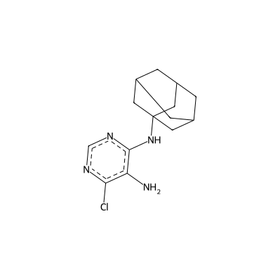 Nc1c(Cl)ncnc1NC12CC3CC(CC(C3)C1)C2